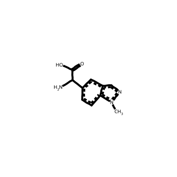 Cn1ncc2cc(C(N)C(=O)O)ccc21